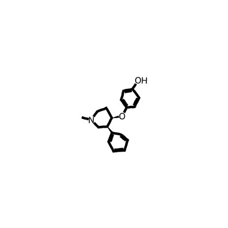 CN1CC[C@@H](Oc2ccc(O)cc2)[C@@H](c2ccccc2)C1